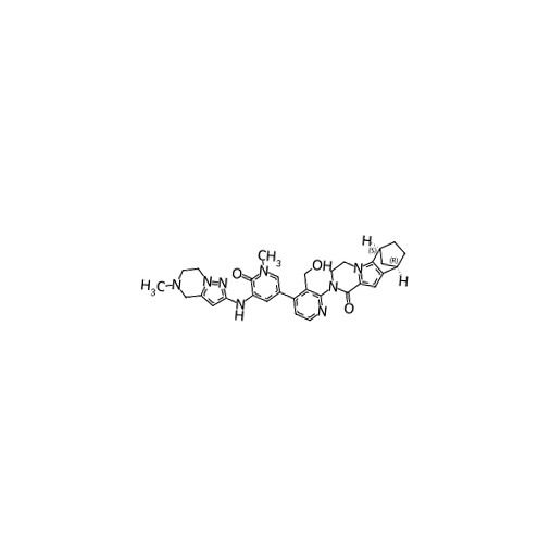 CN1CCn2nc(Nc3cc(-c4ccnc(N5CCn6c(cc7c6[C@H]6CC[C@@H]7C6)C5=O)c4CO)cn(C)c3=O)cc2C1